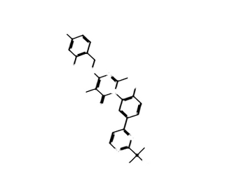 Cc1c(OCc2ccc(F)cc2F)nc(C)n(-c2cc(-c3ccnc(C(C)(C)O)n3)ccc2Cl)c1=O